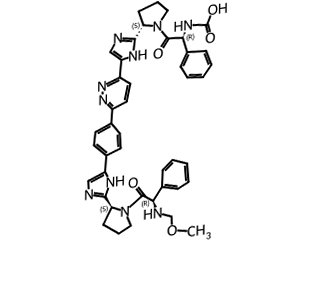 COCN[C@@H](C(=O)N1CCC[C@H]1c1ncc(-c2ccc(-c3ccc(-c4cnc([C@@H]5CCCN5C(=O)[C@H](NC(=O)O)c5ccccc5)[nH]4)nn3)cc2)[nH]1)c1ccccc1